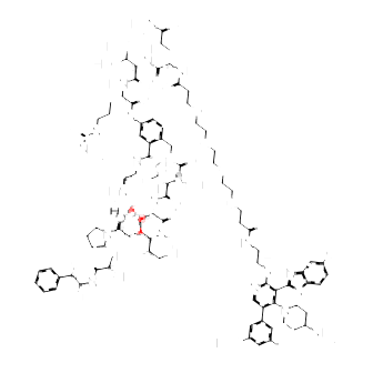 CC[C@H](C)[C@@H]([C@@H](CC(=O)N1CCC[C@H]1C[C@@H](C)C(=O)N[C@H](C)[C@@H](O)c1ccccc1)OC)N(C)C(=O)[C@@H](NC(=O)[C@H](C(C)C)N(C)C(=O)OCc1ccc(NC(=O)[C@H](CCCNC(N)=O)NC(=O)[C@@H](NC(=O)[C@H](CCC(N)=O)NC(=O)CCOCCOCCOCCOCCC(=O)NCCNc2ncc(-c3cc(C)cc(F)c3)c(N3CCC(N)CC3)c2-c2nc3ccc(Cl)cc3[nH]2)C(C)C)cc1C(=O)NCCN)C(C)C